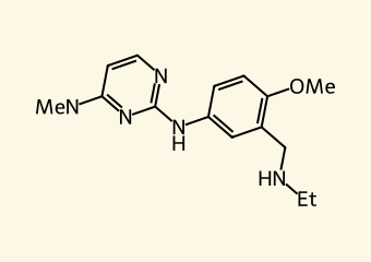 CCNCc1cc(Nc2nccc(NC)n2)ccc1OC